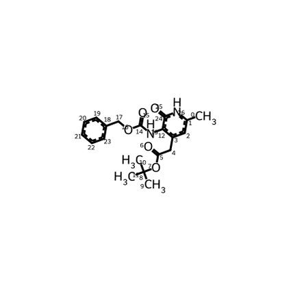 Cc1cc(CC(=O)OC(C)(C)C)c(NC(=O)OCc2ccccc2)c(=O)[nH]1